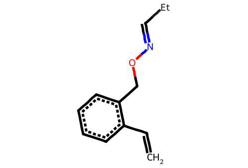 C=Cc1ccccc1CON=CCC